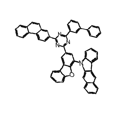 c1ccc(-c2cccc(-c3nc(-c4ccc5c(ccc6ccccc65)c4)nc(-c4cc(-n5c6ccccc6c6cc7ccccc7cc65)c5oc6ccccc6c5c4)n3)c2)cc1